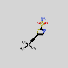 C[Si](C)(C)C#Cc1cnc(S(N)(=O)=O)s1